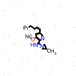 CC(C)CC/C=C\c1cnc(C(=N)N2CC(C)C2)c(OC#N)c1